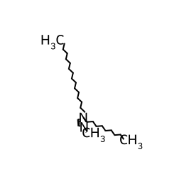 CCCCCCCCCCCCCCCCN1C=CN(C)C1CCCCCCCC